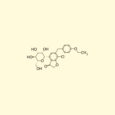 CCOc1ccc(Cc2cc([C@@H]3O[C@H](CO)[C@@H](O)[C@H](O)[C@@H]3O)c3c(c2Cl)OCC3=O)cc1